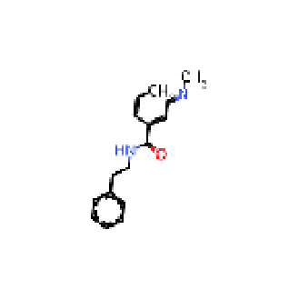 C\C=C/C(=C\C=N\C)C(=O)NCCc1ccccc1